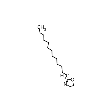 C1=NCCO1.CCCCCCCCCCCCC